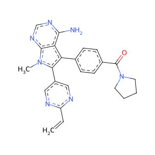 C=Cc1ncc(-c2c(-c3ccc(C(=O)N4CCCC4)cc3)c3c(N)ncnc3n2C)cn1